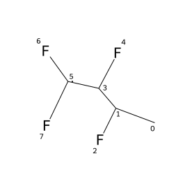 CC(F)C(F)[C](F)F